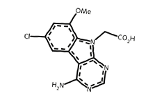 COc1cc(Cl)cc2c3c(N)ncnc3n(CC(=O)O)c12